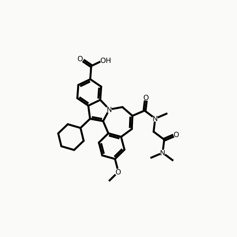 COc1ccc2c(c1)C=C(C(=O)N(C)CC(=O)N(C)C)Cn1c-2c(C2CCCCC2)c2ccc(C(=O)O)cc21